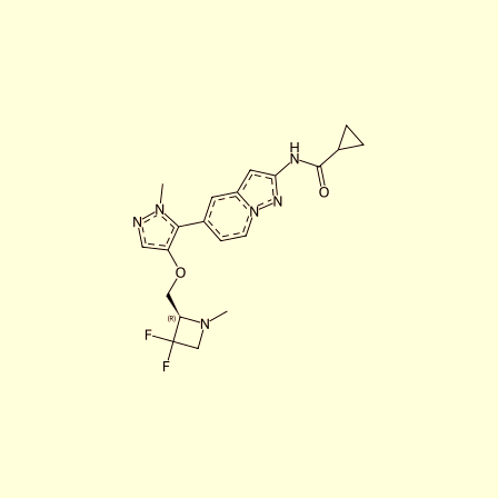 CN1CC(F)(F)[C@H]1COc1cnn(C)c1-c1ccn2nc(NC(=O)C3CC3)cc2c1